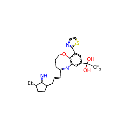 CCC1CCC(C/C=C/C2=N/c3cc(C(O)(O)C(F)(F)F)cc(-c4nccs4)c3OCCC2)C1=N